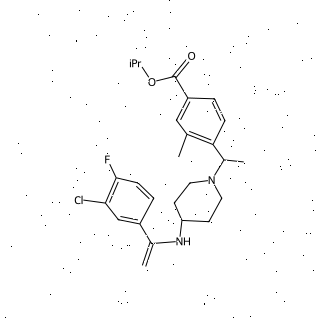 C=C(NC1CCN(C(C)c2ccc(C(=O)OC(C)C)cc2C)CC1)c1ccc(F)c(Cl)c1